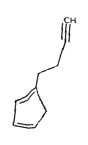 C#CCCC1=CC=CC1